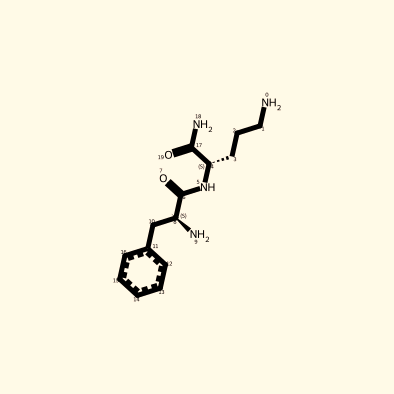 NCCC[C@H](NC(=O)[C@@H](N)Cc1ccccc1)C(N)=O